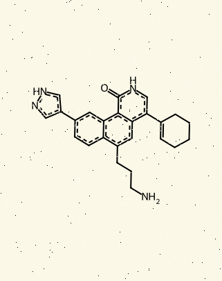 NCCCc1cc2c(C3=CCCCC3)c[nH]c(=O)c2c2cc(-c3cn[nH]c3)ccc12